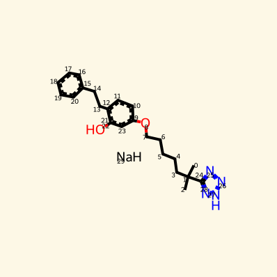 CC(C)(CCCCCOc1ccc(CCc2ccccc2)c(O)c1)c1nn[nH]n1.[NaH]